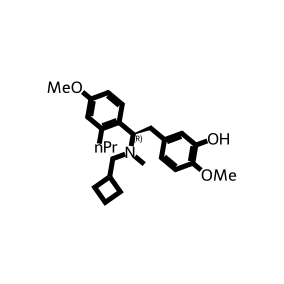 CCCc1cc(OC)ccc1[C@@H](Cc1ccc(OC)c(O)c1)N(C)CC1CCC1